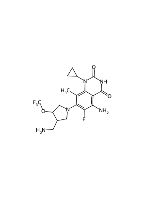 Cc1c(N2CC(CN)C(OC(F)(F)F)C2)c(F)c(N)c2c(=O)[nH]c(=O)n(C3CC3)c12